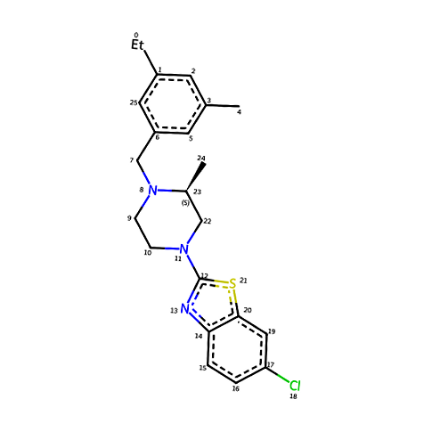 CCc1cc(C)cc(CN2CCN(c3nc4ccc(Cl)cc4s3)C[C@@H]2C)c1